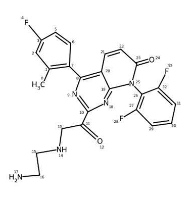 Cc1cc(F)ccc1-c1nc(C(=O)CNCCN)nc2c1ccc(=O)n2-c1c(F)cccc1F